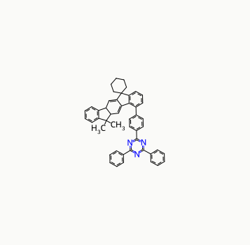 CC1(C)c2ccccc2C2C=C3C(=CC21)c1c(-c2ccc(-c4nc(-c5ccccc5)nc(-c5ccccc5)n4)cc2)cccc1C31CCCCC1